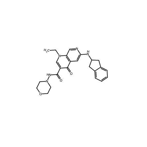 CCn1cc(C(=O)NN2CCOCC2)c(=O)c2cc(NC3Cc4ccccc4C3)ncc21